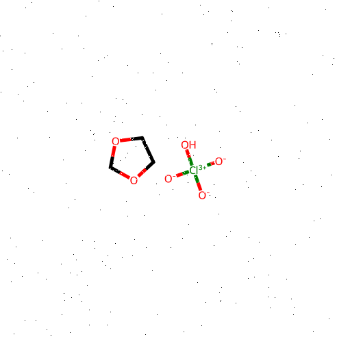 C1COCO1.[O-][Cl+3]([O-])([O-])O